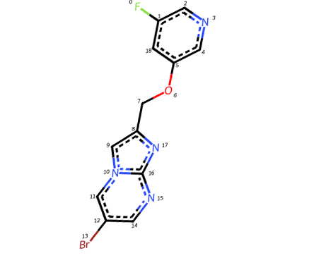 Fc1cncc(OCc2cn3cc(Br)cnc3n2)c1